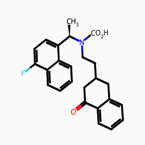 C[C@H](c1ccc(F)c2ccccc12)N(CCC1CC(=O)c2ccccc2C1)C(=O)O